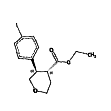 CCOC(=O)[C@@H]1CCOC[C@H]1c1ccc(I)cc1